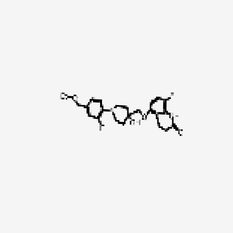 CCOCc1ccc(N2CCC(O)(COc3ccc(F)c4c3CCC(=O)N4)CC2)c(F)c1